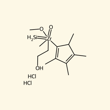 C[O][Zr]([CH3])(=[O])(=[SiH2])([CH2]CO)[C]1=C(C)C(C)=C(C)C1C.Cl.Cl